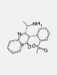 CC(N)c1nc2ccccn2c(=O)c1-c1ccccc1S(C)(=O)=O